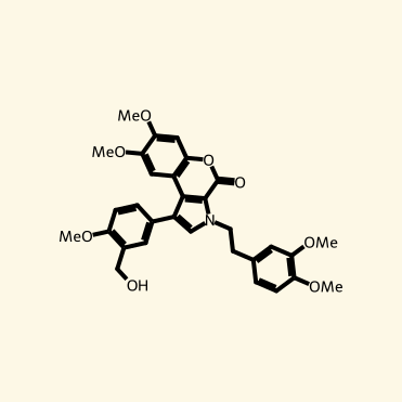 COc1ccc(-c2cn(CCc3ccc(OC)c(OC)c3)c3c(=O)oc4cc(OC)c(OC)cc4c23)cc1CO